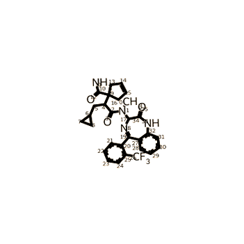 CN(C(=O)C(CC1CC1)C1(C(N)=O)CC=CC1)C1N=C(c2ccccc2C(F)(F)F)c2ccccc2NC1=O